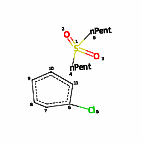 CCCCCS(=O)(=O)CCCCC.Clc1ccccc1